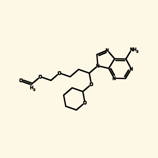 Nc1ncnc2c1ncn2C(CCOCO[PH2]=O)OC1CCCCO1